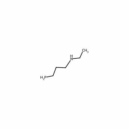 CCNCCCP